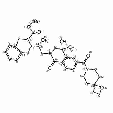 CC(C)(C)OC(=O)N1Cc2ccccc2CC1[C@H](O)CN1CC(C)(C)c2cc(C(=O)N3CCC4(CCO4)CC3)ccc2C1=O